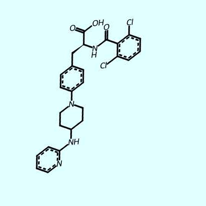 O=C(N[C@@H](Cc1ccc(N2CCC(Nc3ccccn3)CC2)cc1)C(=O)O)c1c(Cl)cccc1Cl